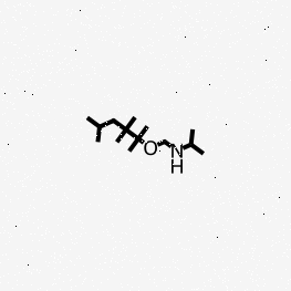 CC(C)CC(C)(C)C(C)(C)OCNC(C)C